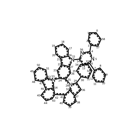 c1ccc(-c2nc(-c3ccccc3)nc(-n3c4ccccc4c4cc5c(cc43)n3c(-c4ccccc4)cc4cccc(c6cccc7c8ccccc8n5c67)c43)n2)cc1